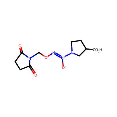 O=C(O)C1CCN([N+]([O-])=NOCN2C(=O)CCC2=O)C1